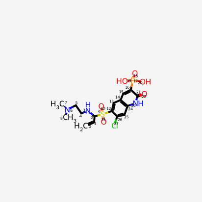 C=CC(NCCN(C)C)S(=O)(=O)c1cc2cc(P(=O)(O)O)c(=O)[nH]c2cc1Cl